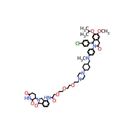 COc1cc2c(cc1OC(C)C)[C@H](c1ccc(Cl)cc1)N(c1ccc(N(C)CC3CCC(N4CCN(CCOCCOCCOCC(=O)Nc5cccc6c5CN(C5CCC(=O)NC5=O)C6=O)CC4)CC3)cc1)C(=O)C2